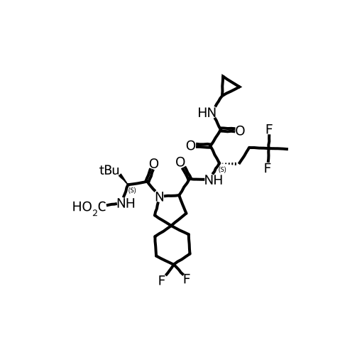 CC(F)(F)CC[C@H](NC(=O)C1CC2(CCC(F)(F)CC2)CN1C(=O)[C@@H](NC(=O)O)C(C)(C)C)C(=O)C(=O)NC1CC1